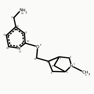 CN1CC2CC1CC2COc1cc(CN)ccn1